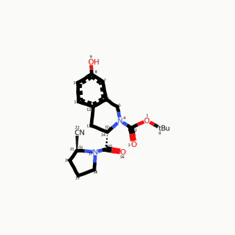 CC(C)(C)OC(=O)N1Cc2cc(O)ccc2C[C@H]1C(=O)N1CCC[C@H]1C#N